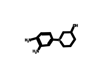 Nc1ccc(N2CCCC(O)C2)cc1N